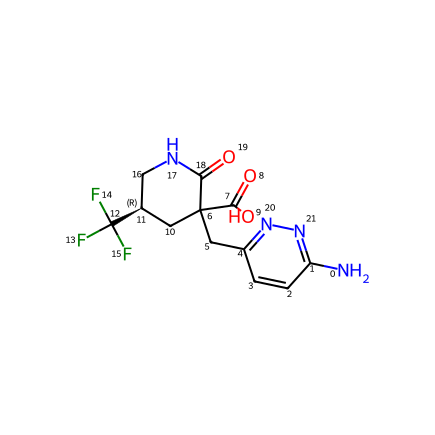 Nc1ccc(CC2(C(=O)O)C[C@@H](C(F)(F)F)CNC2=O)nn1